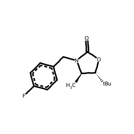 C[C@@H]1[C@@H](C(C)(C)C)OC(=O)N1Cc1ccc(F)cc1